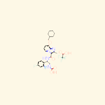 Cc1nc2c(OCC3CCCCC3)cccn2c1C(=O)NC(CNC(=O)O)c1ccc(F)cc1F.O=C(O)C(F)(F)F